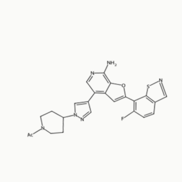 CC(=O)N1CCC(n2cc(-c3cnc(N)c4oc(-c5c(F)ccc6cnsc56)cc34)cn2)CC1